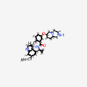 COc1cc(C2(NC(=O)c3cc(OC4CCC5CNCCN5C4)ccc3C)CC2)c2cccnc2c1